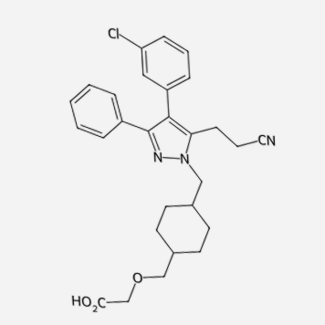 N#CCCc1c(-c2cccc(Cl)c2)c(-c2ccccc2)nn1CC1CCC(COCC(=O)O)CC1